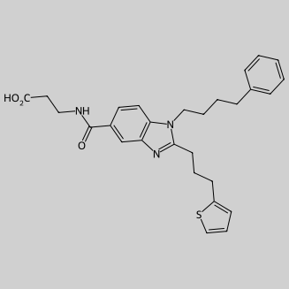 O=C(O)CCNC(=O)c1ccc2c(c1)nc(CCCc1cccs1)n2CCCCc1ccccc1